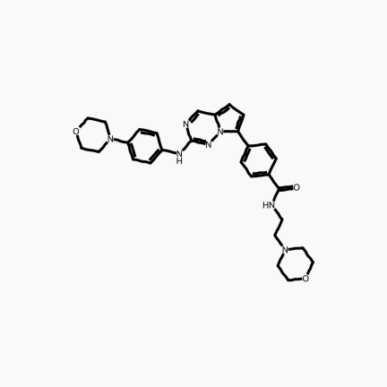 O=C(NCCN1CCOCC1)c1ccc(-c2ccc3cnc(Nc4ccc(N5CCOCC5)cc4)nn23)cc1